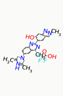 Cc1nc(-c2cc3cn(C)nc3cc2O)nc2ccc(N3C[C@@H](C)N[C@@H](C)C3)cc12.O=C(O)C(F)(F)F